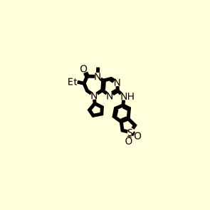 CCC1CN(C2CCCC2)c2nc(Nc3ccc4c(c3)CS(=O)(=O)C4)ncc2N(C)C1=O